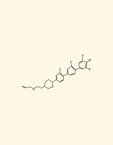 C=CCOCCC1CCC(c2ccc(-c3ccc(-c4cc(F)c(Cl)c(F)c4)c(F)c3)c(F)c2)SC1